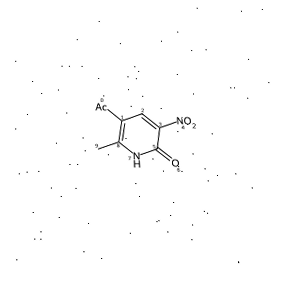 CC(=O)c1cc([N+](=O)[O-])c(=O)[nH]c1C